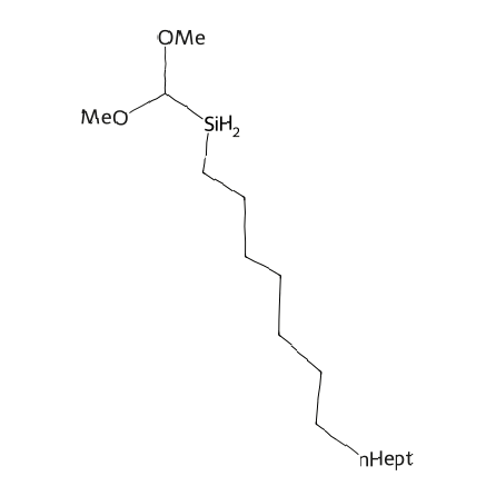 CCCCCCCCCCCCCC[SiH2]C(OC)OC